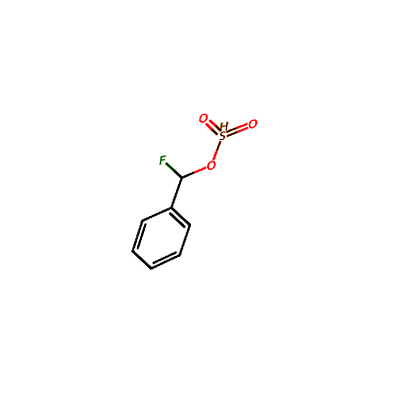 O=[SH](=O)OC(F)c1ccccc1